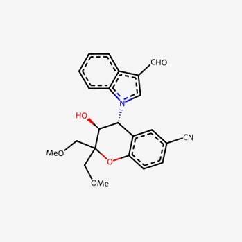 COCC1(COC)Oc2ccc(C#N)cc2[C@@H](n2cc(C=O)c3ccccc32)[C@@H]1O